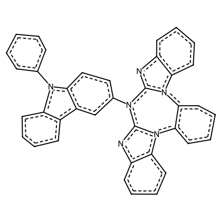 c1ccc(-n2c3ccccc3c3cc(-n4c5nc6ccccc6n5c5ccccc5n5c6ccccc6nc45)ccc32)cc1